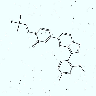 COc1nc(C)ccc1-c1cnn2ccc(-c3ccn(CCC(F)(F)F)c(=O)c3)nc12